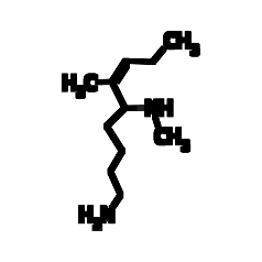 CCC=C(C)C(CCCCN)NC